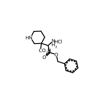 Cl.NC(C(=O)OCc1ccccc1)C1(C(=O)O)CCCNC1